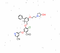 CC1(C)C(c2ccccc2)=CC(OCCCN2CCC(O)C2)=C[C@H]1COc1cc(OCc2cncc(C#N)c2)c(C=O)cc1Cl